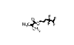 C=C(C)C(=O)OCCCC(F)(F)C(F)F